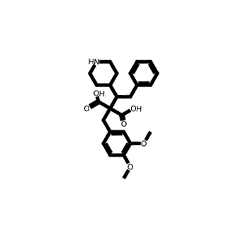 COc1ccc(CC(C(=O)O)(C(=O)O)C(Cc2ccccc2)C2CCNCC2)cc1OC